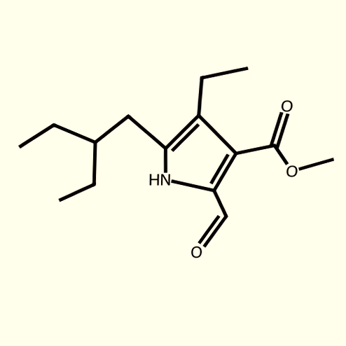 CCc1c(CC(CC)CC)[nH]c(C=O)c1C(=O)OC